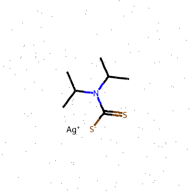 CC(C)N(C(=S)[S-])C(C)C.[Ag+]